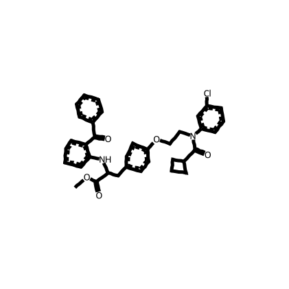 COC(=O)C(Cc1ccc(OCCN(C(=O)C2CCC2)c2cccc(Cl)c2)cc1)Nc1ccccc1C(=O)c1ccccc1